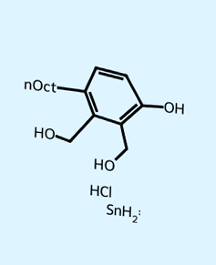 CCCCCCCCc1ccc(O)c(CO)c1CO.Cl.[SnH2]